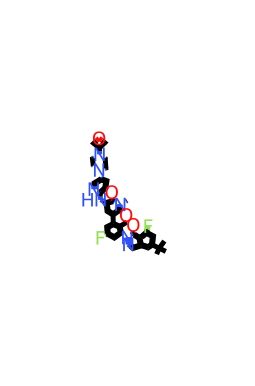 Cn1cc(-c2cc(F)cc(-n3ncc4cc(C(C)(C)C)cc(F)c4c3=O)c2C=O)cc(Nc2ccc(N3CCN(C4COC4)CC3)cn2)c1=O